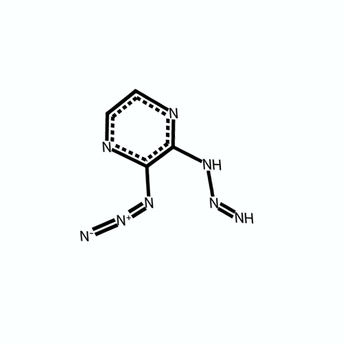 [N-]=[N+]=Nc1nccnc1NN=N